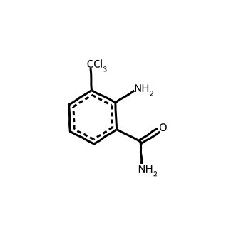 NC(=O)c1cccc(C(Cl)(Cl)Cl)c1N